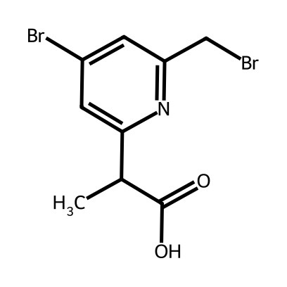 CC(C(=O)O)c1cc(Br)cc(CBr)n1